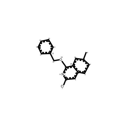 Cc1ccc2cc(Cl)nc(OCc3ccccc3)c2c1